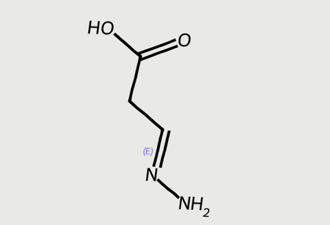 N/N=C/CC(=O)O